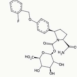 NC(=O)[C@@H]1CC[C@H](c2ccc(OCc3ccccc3F)cc2)N1C(=O)O[C@@H]1O[C@H](C(=O)O)C(O)[C@H](O)C1O